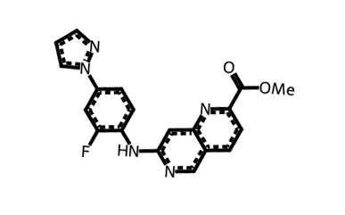 COC(=O)c1ccc2cnc(Nc3ccc(-n4cccn4)cc3F)cc2n1